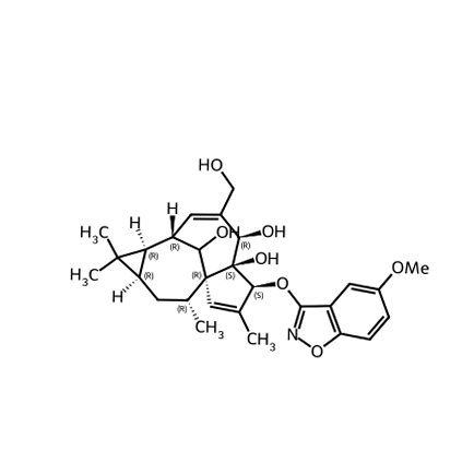 COc1ccc2onc(O[C@H]3C(C)=C[C@]45C(O)[C@@H](C=C(CO)[C@@H](O)[C@]34O)[C@H]3[C@@H](C[C@H]5C)C3(C)C)c2c1